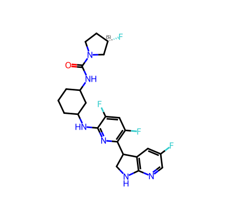 O=C(NC1CCCC(Nc2nc(C3CNc4ncc(F)cc43)c(F)cc2F)C1)N1CC[C@H](F)C1